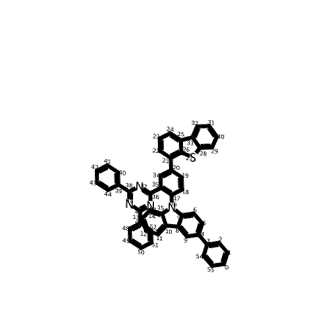 c1ccc(-c2ccc3c(c2)c2ccccc2n3-c2ccc(-c3cccc4c3sc3ccccc34)cc2-c2nc(-c3ccccc3)nc(-c3ccccc3)n2)cc1